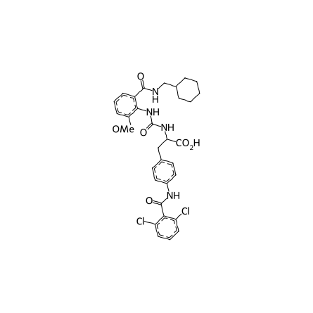 COc1cccc(C(=O)NCC2CCCCC2)c1NC(=O)NC(Cc1ccc(NC(=O)c2c(Cl)cccc2Cl)cc1)C(=O)O